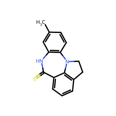 Cc1ccc2c(c1)NC(=S)c1cccc3c1N2CC3